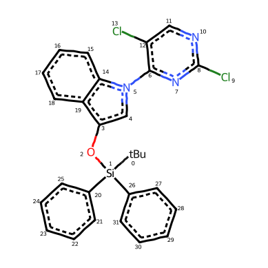 CC(C)(C)[Si](Oc1cn(-c2nc(Cl)ncc2Cl)c2ccccc12)(c1ccccc1)c1ccccc1